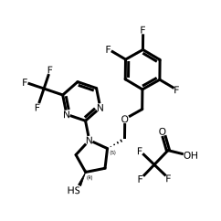 Fc1cc(F)c(COC[C@@H]2C[C@@H](S)CN2c2nccc(C(F)(F)F)n2)cc1F.O=C(O)C(F)(F)F